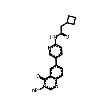 CCCn1cnc2ccc(-c3ccc(NC(=O)CC4CCC4)nc3)cc2c1=O